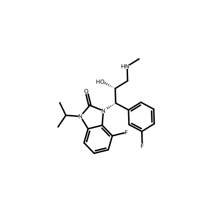 CNC[C@@H](O)[C@H](c1cccc(F)c1)n1c(=O)n(C(C)C)c2cccc(F)c21